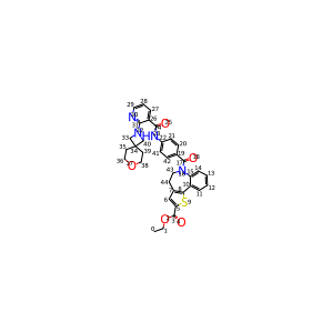 CCOC(=O)c1cc2c(s1)-c1ccccc1N(C(=O)c1ccc(NC(=O)c3cccnc3N3CC4(CCOCC4)C3)cc1)CC2